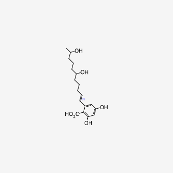 CC(O)CCCC(O)CCC/C=C/c1cc(O)cc(O)c1C(=O)O